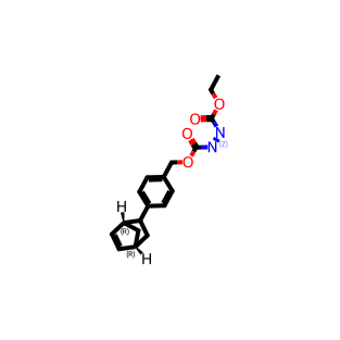 CCOC(=O)/N=N\C(=O)OCc1ccc(C2C[C@@H]3C=C[C@H]2C3)cc1